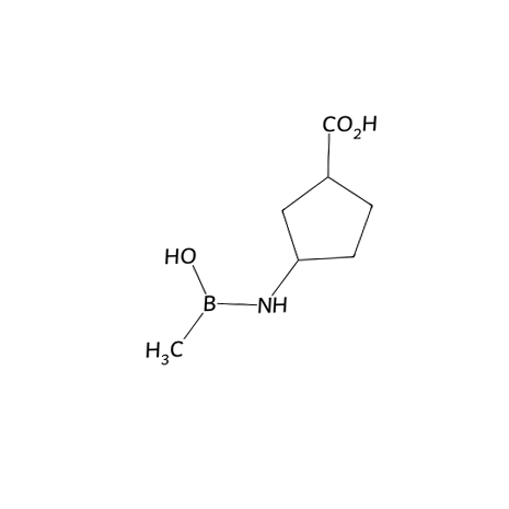 CB(O)NC1CCC(C(=O)O)C1